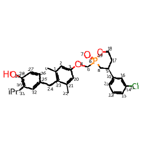 Cc1cc(OCP2(=O)C[C@H](c3cccc(Cl)c3)CCO2)cc(C)c1Cc1ccc(O)c(C(C)C)c1